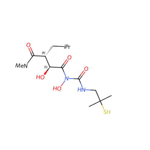 CNC(=O)[C@H](CC(C)C)[C@H](O)C(=O)N(O)C(=O)NCC(C)(C)S